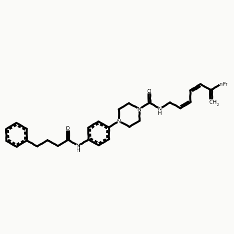 C=C(/C=C\C=C/CNC(=O)N1CCN(c2ccc(NC(=O)CCCc3ccccc3)cc2)CC1)CCC